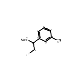 COC(CF)c1cccc(C#N)c1